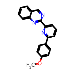 FC(F)(F)Oc1ccc(-c2cccc(-c3ncc4ccccc4n3)n2)cc1